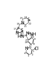 Clc1cccnc1-c1ccc2[nH]nc(Nc3ncc(CN4CCSCC4)s3)c2c1